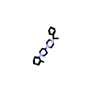 Cc1ccccc1N1CCC(N2CCN(C(C)c3ccccc3)CC2)CC1